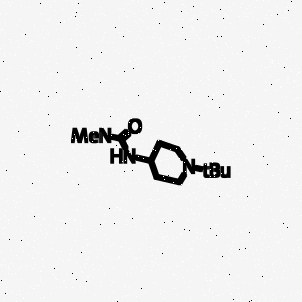 CNC(=O)NC1CCN(C(C)(C)C)CC1